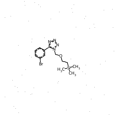 C[Si](C)(C)CCOCn1nnnc1-c1cccc(Br)c1